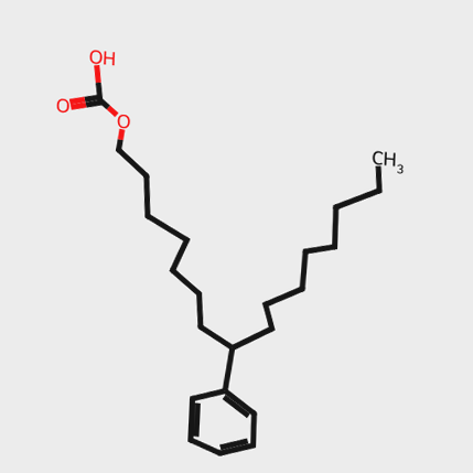 CCCCCCCCC(CCCCCCCOC(=O)O)c1ccccc1